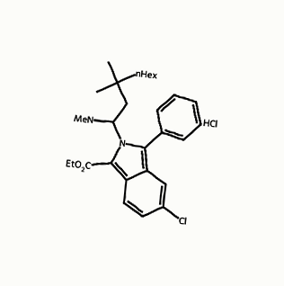 CCCCCCC(C)(C)CC(NC)n1c(C(=O)OCC)c2ccc(Cl)cc2c1-c1ccccc1.Cl